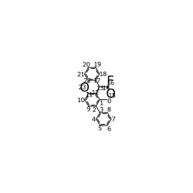 Cc1c(-c2ccccc2)ccc2c1C(C(=O)F)c1ccccc1O2